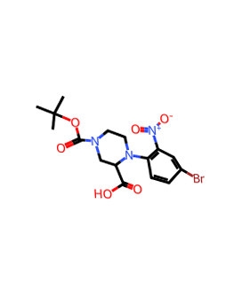 CC(C)(C)OC(=O)N1CCN(c2ccc(Br)cc2[N+](=O)[O-])C(C(=O)O)C1